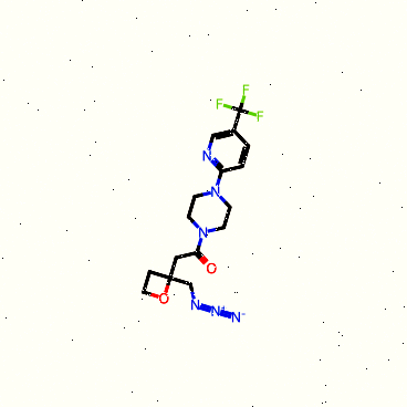 [N-]=[N+]=NCC1(CC(=O)N2CCN(c3ccc(C(F)(F)F)cn3)CC2)CCO1